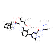 C=C(/C=C(\C=C\C(=O)N[C@H](CN(C)C)CC(C)(C)C)c1cccc(CN[C@H](C(=O)N[C@H]2C[C@H]3C[C@@H]([C@@H]2C)C3(C)C)[C@H]([C@H](C)O)[C@H](CO)OC)c1OC)N(C)C